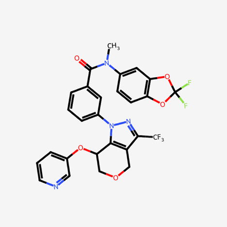 CN(C(=O)c1cccc(-n2nc(C(F)(F)F)c3c2C(Oc2cccnc2)COC3)c1)c1ccc2c(c1)OC(F)(F)O2